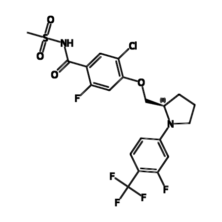 CS(=O)(=O)NC(=O)c1cc(Cl)c(OC[C@H]2CCCN2c2ccc(C(F)(F)F)c(F)c2)cc1F